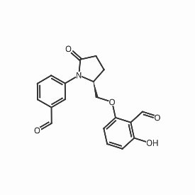 O=Cc1cccc(N2C(=O)CC[C@H]2COc2cccc(O)c2C=O)c1